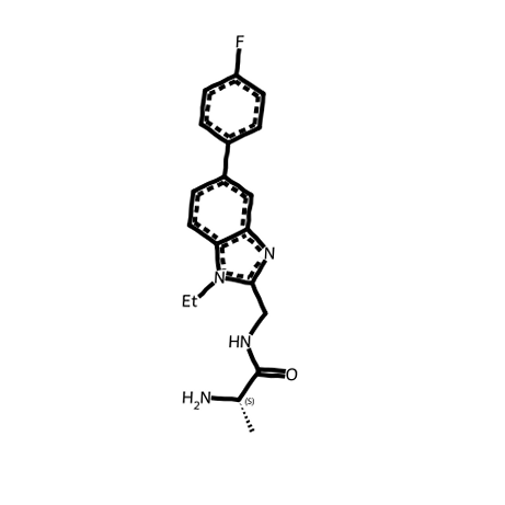 CCn1c(CNC(=O)[C@H](C)N)nc2cc(-c3ccc(F)cc3)ccc21